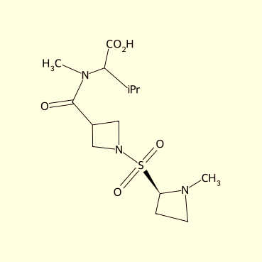 CC(C)C(C(=O)O)N(C)C(=O)C1CN(S(=O)(=O)[C@@H]2CCN2C)C1